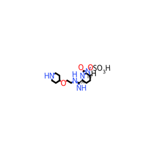 N=C(NCCOC1CCNCC1)[C@@H]1CC[C@@H]2CN1C(=O)N2OS(=O)(=O)O